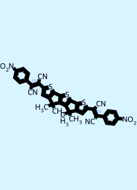 CC1(C)c2cc(/C(C#N)=C(\C#N)c3ccc([N+](=O)[O-])cc3)sc2-c2sc3c(c21)C(C)(C)c1cc(/C(C#N)=C(\C#N)c2ccc([N+](=O)[O-])cc2)sc1-3